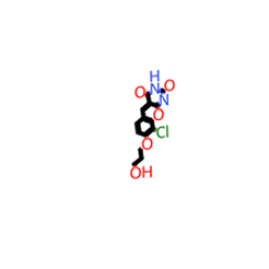 O=c1nc2oc3c(Cl)c(OCCCO)ccc3cc-2c(=O)[nH]1